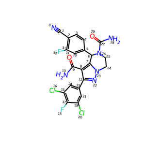 N#Cc1ccc(C2c3c(C(N)=O)c(-c4cc(Cl)c(F)c(Cl)c4)nn3CCN2C(N)=O)cc1F